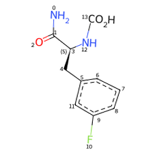 NC(=O)[C@H](Cc1cccc(F)c1)NC(=O)O